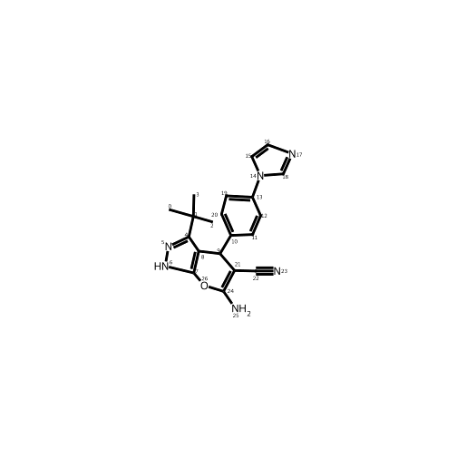 CC(C)(C)c1n[nH]c2c1C(c1ccc(-n3ccnc3)cc1)C(C#N)=C(N)O2